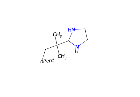 CCCCCCC(C)(C)C1NCCN1